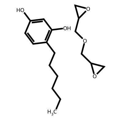 C(OCC1CO1)C1CO1.CCCCCCc1ccc(O)cc1O